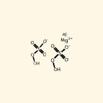 O=S(=O)([O-])OO.O=S(=O)([O-])OO.[Al].[Mg+2]